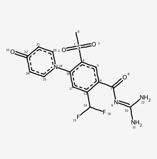 CS(=O)(=O)c1cc(C(=O)N=C(N)N)c(C(F)F)cc1-n1ccc(=O)cc1